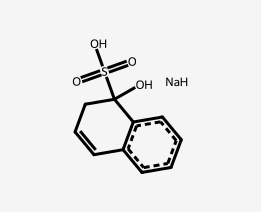 O=S(=O)(O)C1(O)CC=Cc2ccccc21.[NaH]